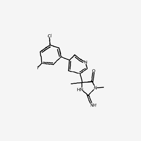 CN1C(=N)NC(C)(c2cncc(-c3cc(Cl)cc(I)c3)c2)C1=O